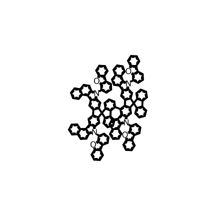 c1ccc2c(c1)-c1c(-c3c4c(cc5c3c3ccc6ccccc6c3n5-c3cccc5c3oc3ccccc35)C3(c5ccccc5-c5ccccc53)c3cc5c(cc3-4)c3ccc4ccccc4c3n5-c3cccc4c3oc3ccccc34)cccc1C21c2cc3c(cc2-c2cc4c5c6ccccc6ccc5n(-c5cccc6c5oc5ccccc56)c4cc21)c1c2ccccc2ccc1n3-c1cccc2c1oc1ccccc12